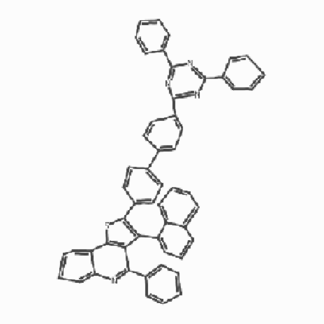 c1ccc(-c2nc(-c3ccccc3)nc(-c3ccc(-c4ccc(-c5sc6c(c(-c7ccccc7)nc7ccccc76)c5-c5cccc6ccccc56)cc4)cc3)n2)cc1